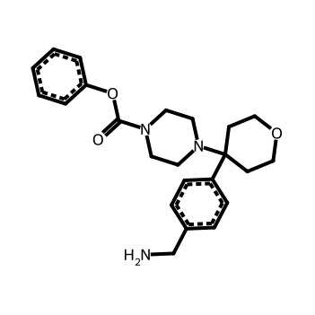 NCc1ccc(C2(N3CCN(C(=O)Oc4ccccc4)CC3)CCOCC2)cc1